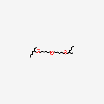 CCCCC(=COCCCCCCOCCCCCCOC=C(CC)CCCC)CC